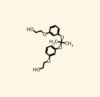 CC(C)(Oc1cccc(OCCO)c1)Oc1cccc(OCCO)c1